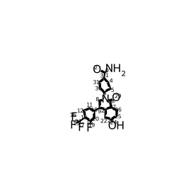 NC(=O)c1ccc(-n2cc(-c3ccc(C(F)(F)F)c(F)c3)c3cc(O)ccc3c2=O)cc1